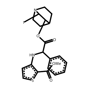 COC(=O)c1sccc1NC(C(=O)OC1C2CCN(CC2)C1I)c1ccccc1